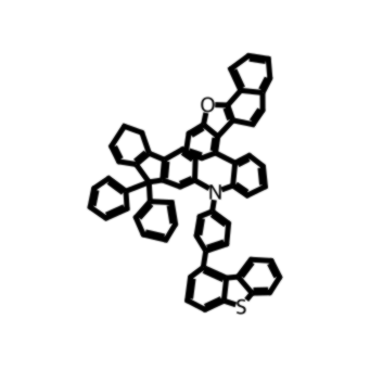 C1=CC2=C(CC1)c1ccc(N(c3ccc(-c4cccc5sc6ccccc6c45)cc3)c3ccccc3-c3cccc4oc5c6ccccc6ccc5c34)cc1C2(c1ccccc1)c1ccccc1